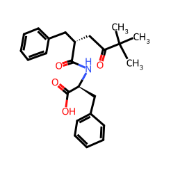 CC(C)(C)C(=O)C[C@@H](Cc1ccccc1)C(=O)N[C@@H](Cc1ccccc1)C(=O)O